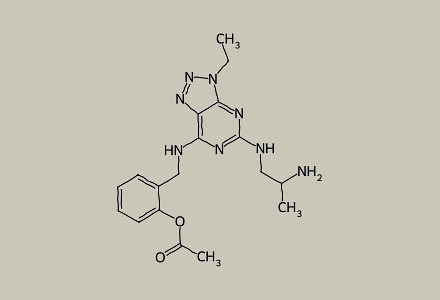 CCn1nnc2c(NCc3ccccc3OC(C)=O)nc(NCC(C)N)nc21